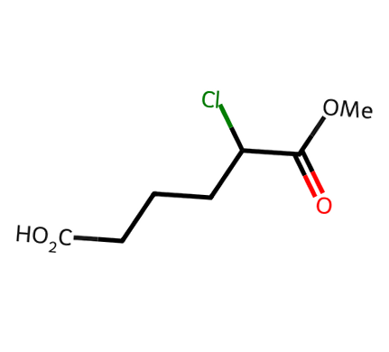 COC(=O)C(Cl)CCCC(=O)O